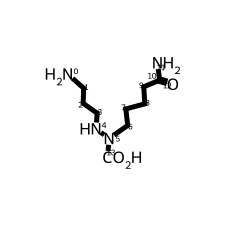 NCCCNN(CCCCC(N)=O)C(=O)O